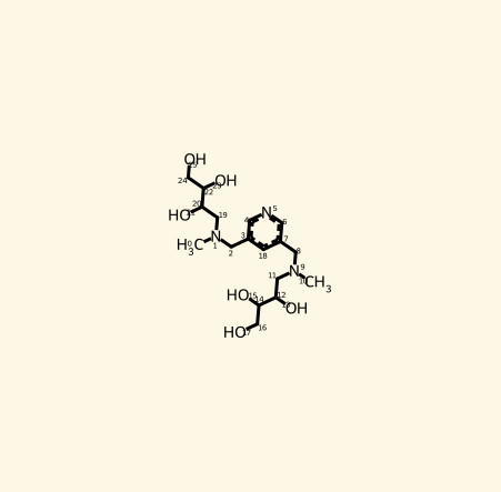 CN(Cc1cncc(CN(C)CC(O)C(O)CO)c1)CC(O)C(O)CO